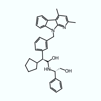 Cc1cc(C)c2c3ccccc3n(Cc3cccc([C@H](C4CCCC4)C(O)N[C@H](CO)c4ccccc4)c3)c2n1